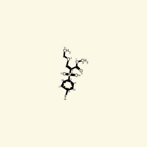 CCO/C=C(\C(=O)OC)S(=O)(=O)c1ccc(F)cc1